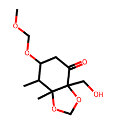 COCOC1CC(=O)C2(CO)OCOC2(C)C1C